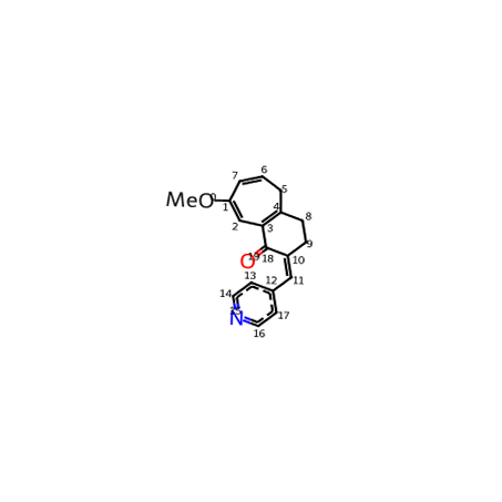 COC1=CC2=C(CC=C1)CCC(=Cc1ccncc1)C2=O